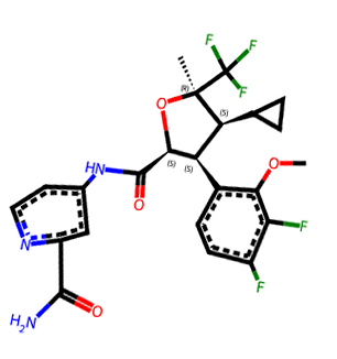 COc1c([C@H]2[C@@H](C(=O)Nc3ccnc(C(N)=O)c3)O[C@@](C)(C(F)(F)F)[C@H]2C2CC2)ccc(F)c1F